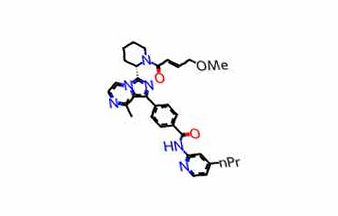 CCCc1ccnc(NC(=O)c2ccc(-c3nc([C@@H]4CCCCN4C(=O)/C=C/COC)n4ccnc(C)c34)cc2)c1